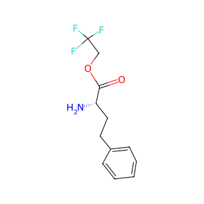 N[C@@H](CCc1ccccc1)C(=O)OCC(F)(F)F